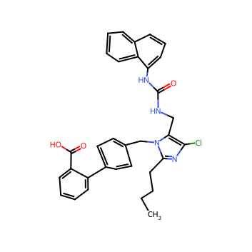 CCCCc1nc(Cl)c(CNC(=O)Nc2cccc3ccccc23)n1Cc1ccc(-c2ccccc2C(=O)O)cc1